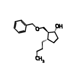 CCCC[C@H]1CC[C@@H](O)[C@@H]1COCc1ccccc1